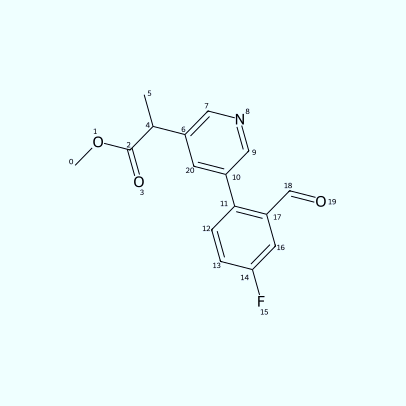 COC(=O)C(C)c1cncc(-c2ccc(F)cc2C=O)c1